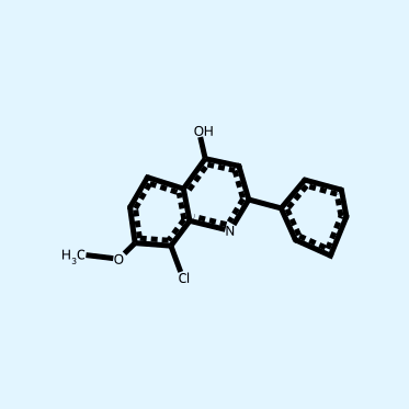 COc1ccc2c(O)cc(-c3ccccc3)nc2c1Cl